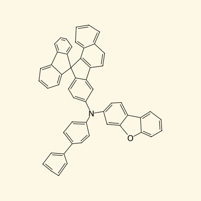 c1ccc(-c2ccc(N(c3ccc4c(c3)-c3ccc5ccccc5c3C43c4ccccc4-c4ccccc43)c3ccc4c(c3)oc3ccccc34)cc2)cc1